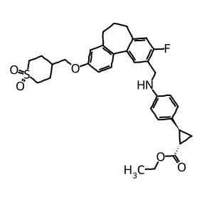 CCOC(=O)[C@H]1C[C@@H]1c1ccc(NCc2cc3c(cc2F)CCCc2cc(OCC4CCS(=O)(=O)CC4)ccc2-3)cc1